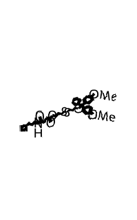 COc1ccc(C(OCCCSSCCCOC(=O)CCC(=O)NCCCC2CCC2)(c2ccccc2)c2ccc(OC)cc2)cc1